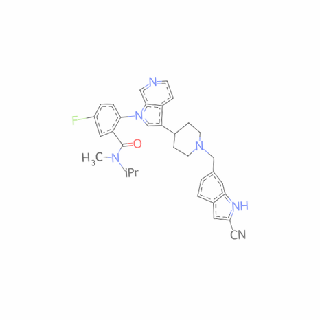 CC(C)N(C)C(=O)c1cc(F)ccc1-n1cc(C2CCN(Cc3ccc4cc(C#N)[nH]c4c3)CC2)c2ccncc21